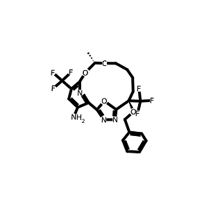 C[C@@H]1CCCCC[C@](OCc2ccccc2)(C(F)(F)F)c2nnc(o2)-c2nc(c(C(F)(F)F)cc2N)O1